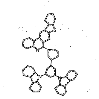 c1cc(-c2cc(-n3c4ccccc4c4ccccc43)cc(-n3c4ccccc4c4ccccc43)c2)cc(-c2nc3ccccc3c3cc4c(cc23)sc2ccccc24)c1